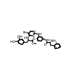 COC(=O)C(Cc1ccc(O)c(O)c1)Nc1nc(Nc2cccc(NC(=O)C(N)Cc3ccccc3)c2)ncc1Br